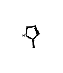 CC1C=C[CH]N1